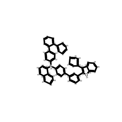 c1ccc(-c2ccccc2-c2ccc(N(c3ccc(-c4cccc(-c5oc6ccccc6c5-c5ccccc5)c4)cc3)c3cccc4ccccc34)cc2)cc1